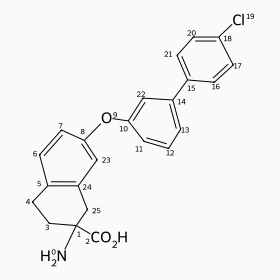 NC1(C(=O)O)CCc2ccc(Oc3cccc(-c4ccc(Cl)cc4)c3)cc2C1